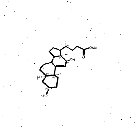 COC(=O)CC[C@@H](C)C1CCC2C3CC[C@@H]4C[C@H](O)CC[C@]4(C)C3=C[C@H](O)[C@@]21C